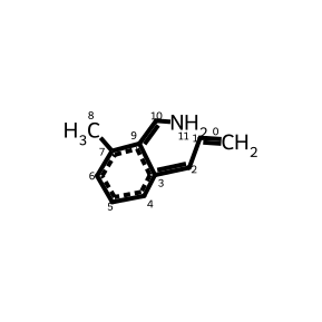 C=C/C=c1/cccc(C)/c1=C/N